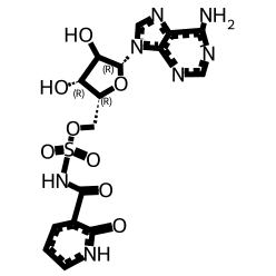 Nc1ncnc2c1ncn2[C@@H]1O[C@H](COS(=O)(=O)NC(=O)c2ccc[nH]c2=O)[C@H](O)C1O